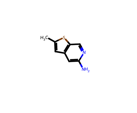 Cc1cc2cc(N)ncc2s1